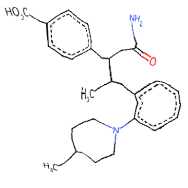 CC1CCN(c2ccccc2C(C)C(C(N)=O)c2ccc(C(=O)O)cc2)CC1